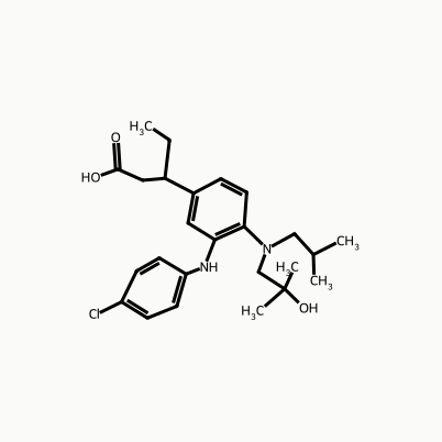 CCC(CC(=O)O)c1ccc(N(CC(C)C)CC(C)(C)O)c(Nc2ccc(Cl)cc2)c1